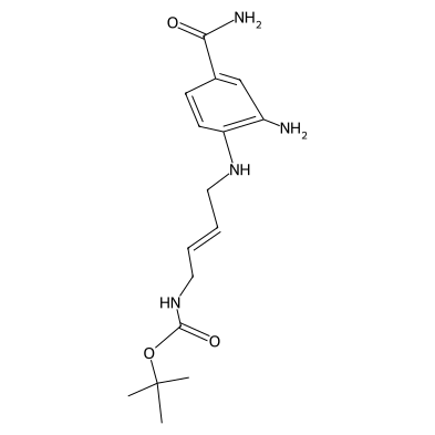 CC(C)(C)OC(=O)NCC=CCNc1ccc(C(N)=O)cc1N